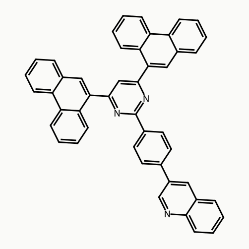 c1ccc2ncc(-c3ccc(-c4nc(-c5cc6ccccc6c6ccccc56)cc(-c5cc6ccccc6c6ccccc56)n4)cc3)cc2c1